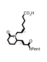 CCCCCC(=O)/C=C/C1CCCC(=O)N1C/C=C\CCCC(=O)O